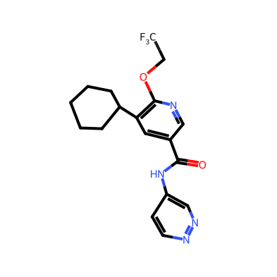 O=C(Nc1ccnnc1)c1cnc(OCC(F)(F)F)c(C2CCCCC2)c1